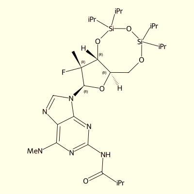 CNc1nc(NC(=O)C(C)C)nc2c1ncn2[C@@H]1O[C@@H]2CO[Si](C(C)C)(C(C)C)O[Si](C(C)C)(C(C)C)O[C@H]2[C@@]1(C)F